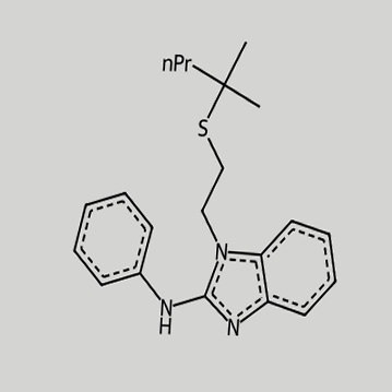 CCCC(C)(C)SCCn1c(Nc2ccccc2)nc2ccccc21